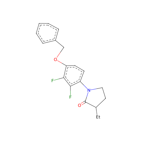 CCC1CCN(c2ccc(OCc3ccccc3)c(F)c2F)C1=O